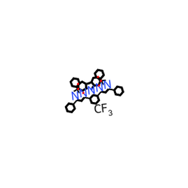 Cc1ccc2c3ccc(C)cc3n(-c3c(-c4cc(-c5ccccc5)nc(-c5ccccc5)n4)cc(C(F)(F)F)cc3-c3cc(-c4ccccc4)nc(-c4ccccc4)n3)c2c1